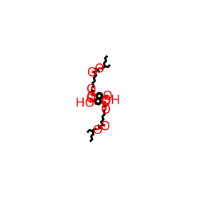 CCCCC(CC)COC(C)(C)C(=O)CCCCCOC(C)(C)C(=O)c1ccc(C(=O)O)c2c(C(=O)C(C)(C)OCCCCCC(=O)C(C)(C)OCC(CC)CCCC)ccc(C(=O)O)c12